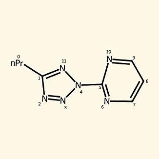 CCCc1nnn(-c2ncccn2)n1